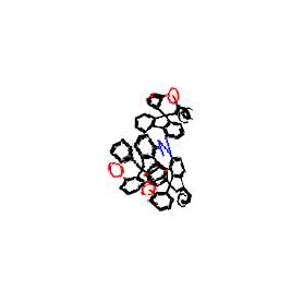 c1ccc2c(c1)Oc1ccccc1C21c2ccccc2-c2ccc(N(c3cccc4c3-c3ccccc3C43c4ccccc4Oc4ccccc43)c3cccc4c3-c3ccccc3C43c4ccccc4Oc4ccccc43)cc21